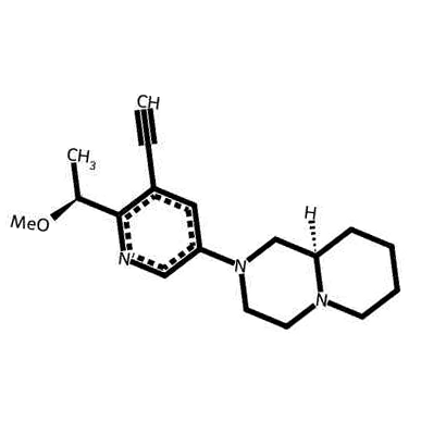 C#Cc1cc(N2CCN3CCCC[C@@H]3C2)cnc1[C@H](C)OC